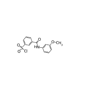 COc1cccc(NC(=O)c2cccc(S(=O)(=O)Cl)c2)c1